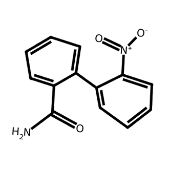 NC(=O)c1ccccc1-c1ccccc1[N+](=O)[O-]